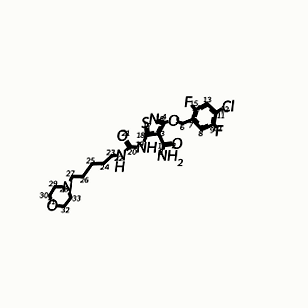 NC(=O)c1c(OCc2cc(F)c(Cl)cc2F)nsc1NC(=O)NCCCCCN1CCOCC1